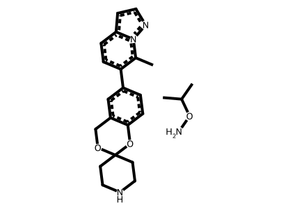 CC(C)ON.Cc1c(-c2ccc3c(c2)COC2(CCNCC2)O3)ccc2ccnn12